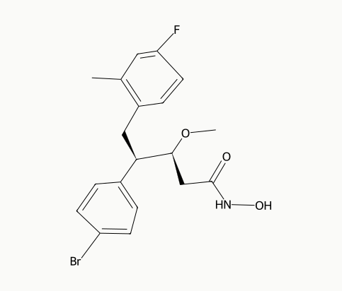 CO[C@@H](CC(=O)NO)[C@H](Cc1ccc(F)cc1C)c1ccc(Br)cc1